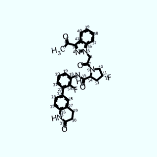 CC(=O)c1nn(CC(=O)N2C[C@H](F)CC2C(=O)Nc2cccc(-c3ccc4c(c3)CCC(=O)N4)c2F)c2ccccc12